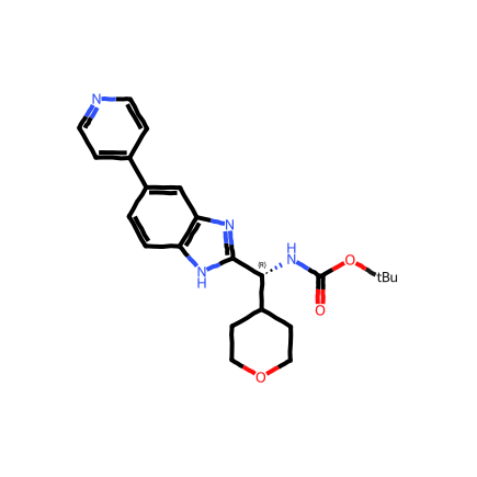 CC(C)(C)OC(=O)N[C@@H](c1nc2cc(-c3ccncc3)ccc2[nH]1)C1CCOCC1